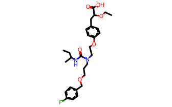 CCOC(Cc1ccc(OCCN(CCCOCc2ccc(F)cc2)C(=O)NC(C)CC)cc1)C(=O)O